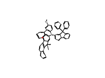 COc1ccc(N(c2ccc3c(c2)C(C)(C)c2c-3ccc3ccccc23)c2ccc3c(c2)C(c2ccccc2)(c2ccccc2)c2ccccc2-3)c(-c2ccccc2)c1